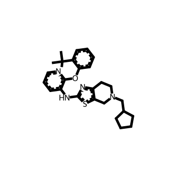 CC(C)(C)c1ccccc1Oc1ncccc1Nc1nc2c(s1)CN(CC1CCCC1)CC2